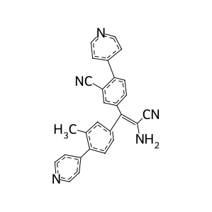 Cc1cc(/C(=C(\N)C#N)c2ccc(-c3ccncc3)c(C#N)c2)ccc1-c1ccncc1